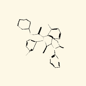 O=C(NC1CCCCC1)[C@@H](c1ccccc1Cl)N(C(=O)C1CCC(=O)N1c1ncccn1)c1cccc(F)c1